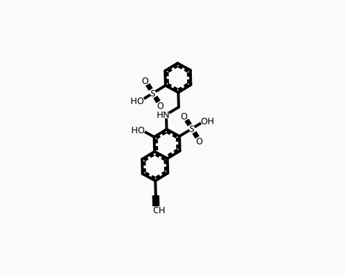 C#Cc1ccc2c(O)c(NCc3ccccc3S(=O)(=O)O)c(S(=O)(=O)O)cc2c1